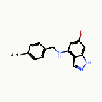 CC(=O)Nc1ccc(CNc2cc(Br)cc3[nH]ncc23)cc1